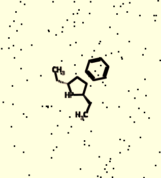 CC[C@@H]1CC[C@@H](CC)P1.c1ccccc1